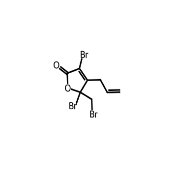 C=CCC1=C(Br)C(=O)OC1(Br)CBr